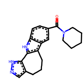 O=C(c1ccc2[nH]c3c(c2c1)CCCc1cn[nH]c1-3)N1CCCCC1